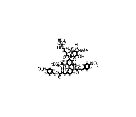 CN[C@@H]1[C@@H](O)[C@@H](O[C@H]2[C@H](NC(=O)[C@@H](O)CCNC(=O)OC(C)(C)C)C[C@H](NC(=O)OC(C)(C)C)C([C@H]3OC(CNC(=O)OCc4ccc([N+](=O)[O-])cc4)=CC[C@H]3NC(=O)OCc3ccc([N+](=O)[O-])cc3)[C@@H]2O)OC[C@]1(C)O